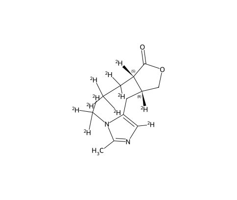 [2H]c1nc(C)n(C([2H])([2H])[2H])c1C[C@@]1([2H])COC(=O)[C@@]1([2H])C([2H])([2H])C([2H])([2H])[2H]